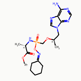 CC(C)OC(=O)[C@H](C)NP(=O)(CO[C@H](C)Cn1cnc2c(N)ncnc21)ON=C1CCCCC1